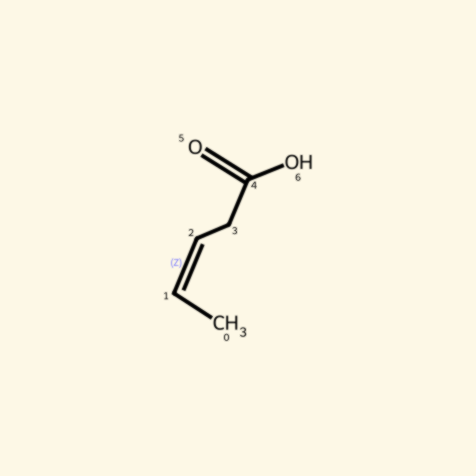 C/C=C\CC(=O)O